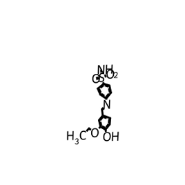 CCOc1cc(/C=N/c2ccc(S(N)(=O)=O)cc2)ccc1O